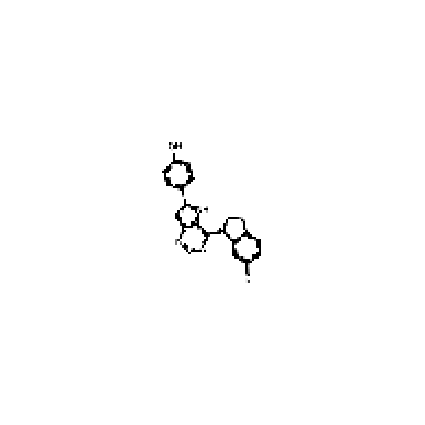 Oc1ccc(-c2cc3ncnc(N4CCc5ccc(Cl)cc54)c3[nH]2)cc1